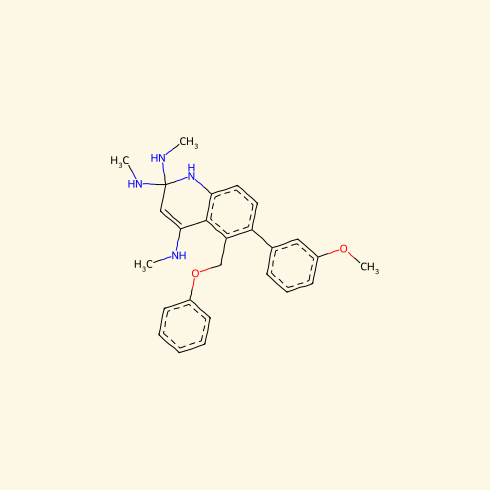 CNC1=CC(NC)(NC)Nc2ccc(-c3cccc(OC)c3)c(COc3ccccc3)c21